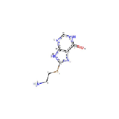 NCCSc1nc2c(=O)[nH]cnc2[nH]1